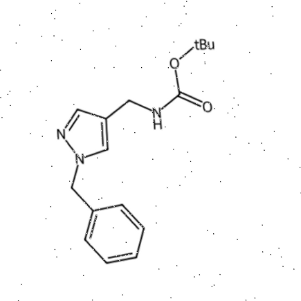 CC(C)(C)OC(=O)NCc1cnn(Cc2ccccc2)c1